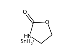 O=C1NCCO1.[SnH2]